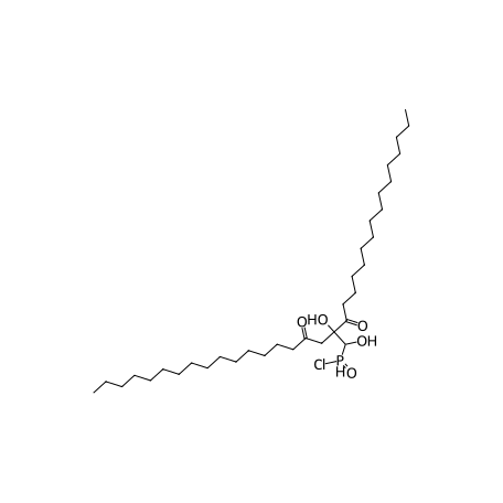 CCCCCCCCCCCCCCCC(=O)CC(O)(C(=O)CCCCCCCCCCCCCCC)C(O)[PH](=O)Cl